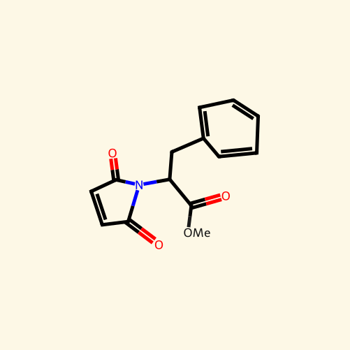 COC(=O)C(Cc1ccccc1)N1C(=O)C=CC1=O